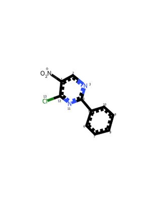 O=[N+]([O-])c1cnc(-c2ccccc2)nc1Cl